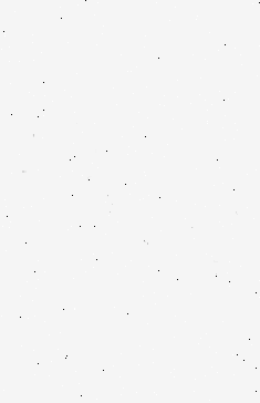 N[C@H](Cc1nc2c(s1)CCCC2)C(=O)O